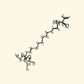 C=C(C)C(=O)NCCCCCCCCCCCC[Si](OCC)(OCC)OCC